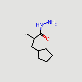 [CH2]C(CC1CCCC1)C(=O)NN